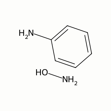 NO.Nc1ccccc1